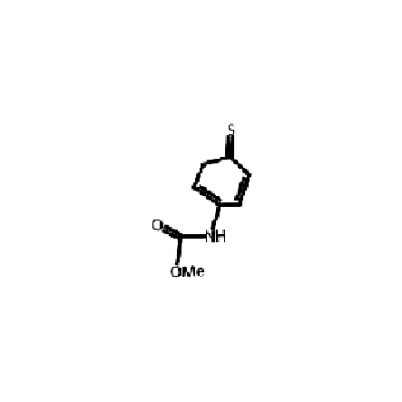 COC(=O)NC1=CCC(=S)C=C1